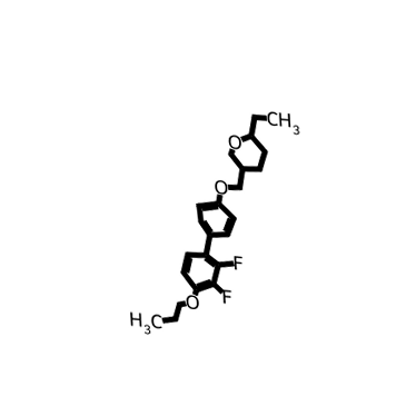 CCCOc1ccc(-c2ccc(OCC3CCC(CC)OC3)cc2)c(F)c1F